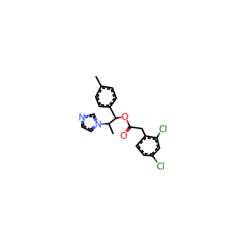 Cc1ccc(C(OC(=O)Cc2ccc(Cl)cc2Cl)C(C)n2ccnc2)cc1